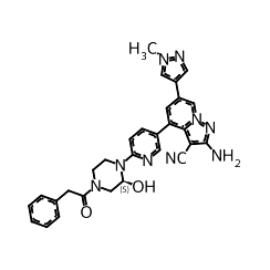 Cn1cc(-c2cc(-c3ccc(N4CCN(C(=O)Cc5ccccc5)C[C@@H]4O)nc3)c3c(C#N)c(N)nn3c2)cn1